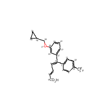 O=C(O)/C=C/C=C(\c1ccc(C(F)(F)F)cc1)c1cccc(OCC2CC2)c1